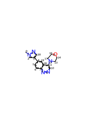 Cn1cc(-c2ccc3nncc(N4CCOCC4)c3c2)cn1